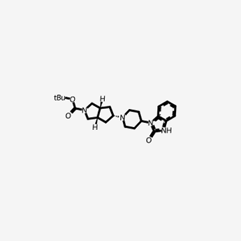 CC(C)(C)OC(=O)N1C[C@H]2C[C@@H](N3CCC(n4c(=O)[nH]c5ccccc54)CC3)C[C@H]2C1